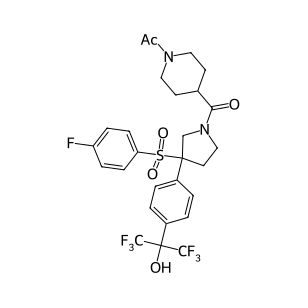 CC(=O)N1CCC(C(=O)N2CCC(c3ccc(C(O)(C(F)(F)F)C(F)(F)F)cc3)(S(=O)(=O)c3ccc(F)cc3)C2)CC1